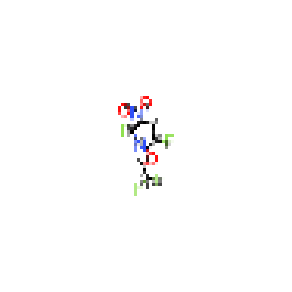 O=[N+]([O-])c1cc(F)c(OCC(F)F)nc1F